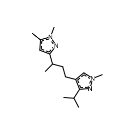 Cc1cc(C(C)CCc2cn(C)nc2C(C)C)nn1C